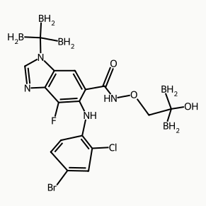 BC(B)(O)CONC(=O)c1cc2c(ncn2C(B)(B)B)c(F)c1Nc1ccc(Br)cc1Cl